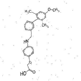 COc1cc(C)c(-c2cccc(CNc3ccc(OCC(=O)O)cc3)c2)c(C)c1